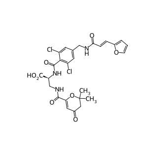 CC1(C)CC(=O)C=C(C(=O)NC[C@H](NC(=O)c2c(Cl)cc(CNC(=O)/C=C/c3ccco3)cc2Cl)C(=O)O)O1